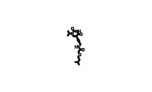 CC(C)CCOCC(=O)NCC#Cc1cn(C(C)C)c(=O)[nH]c1=O